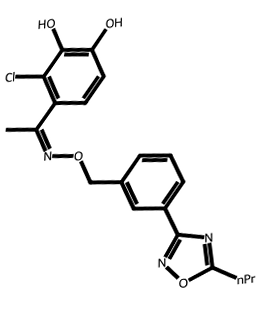 CCCc1nc(-c2cccc(CON=C(C)c3ccc(O)c(O)c3Cl)c2)no1